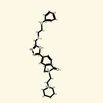 O=C1c2ccc(-c3nnc(CSCCOc4ccccc4)o3)cc2CN1CCN1CCCCC1